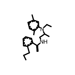 C=C(NCC(C)N(CC)c1cc(C)ccc1C)c1ccccc1CCC